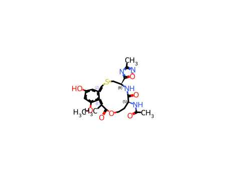 COc1cc(O)cc2/c1=C(/C)C(=O)OCC[C@H](NC(C)=O)C(=O)N[C@H](c1nc(C)no1)CS\C=2